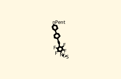 CCCCCc1ccc(-c2ccc(C#Cc3c(F)c(F)c(N=C=S)c(F)c3F)cc2)cc1